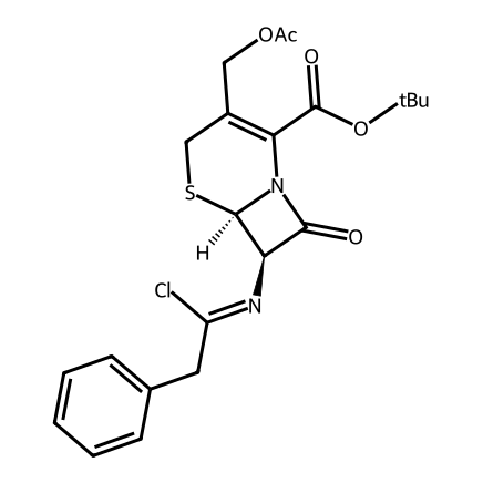 CC(=O)OCC1=C(C(=O)OC(C)(C)C)N2C(=O)[C@@H](N=C(Cl)Cc3ccccc3)[C@H]2SC1